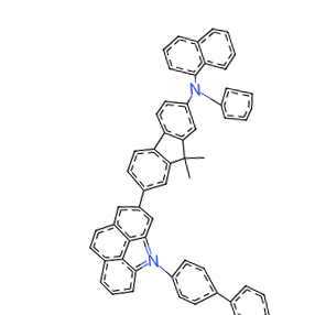 CC1(C)c2cc(-c3cc4ccc5cccc6c5c4c(c3)n6-c3ccc(-c4ccccc4)cc3)ccc2-c2ccc(N(c3ccccc3)c3cccc4ccccc34)cc21